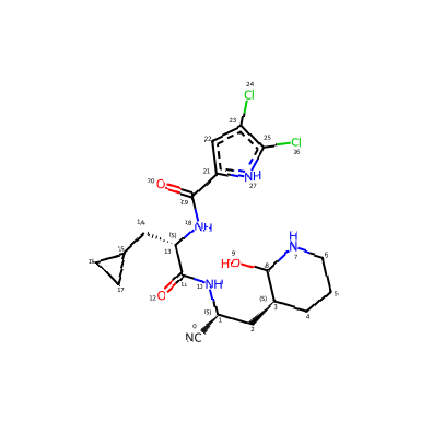 N#C[C@H](C[C@@H]1CCCNC1O)NC(=O)[C@H](CC1CC1)NC(=O)c1cc(Cl)c(Cl)[nH]1